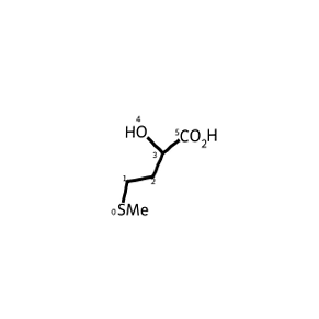 CSCCC(O)C(=O)O